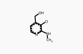 CNc1nccc(CO)c1Cl